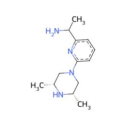 CC(N)c1cccc(N2C[C@@H](C)N[C@@H](C)C2)n1